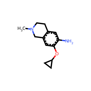 CN1CCc2cc(N)c(OC3CC3)cc2C1